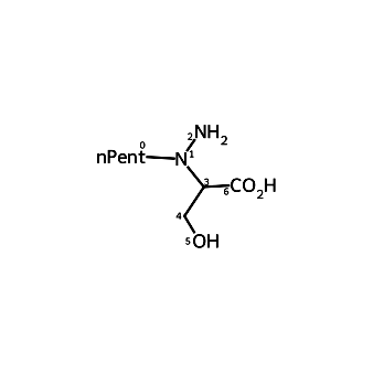 CCCCCN(N)C(CO)C(=O)O